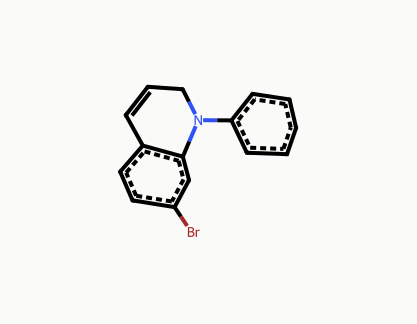 Brc1ccc2c(c1)N(c1ccccc1)CC=C2